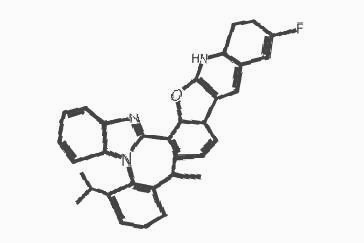 CC(C)C1=CCCC(C(C)C)=C1N1C(C2=CC=CC3C4=C(NC5CCC(F)=CC5=C4)OC23)=NC2C=CC=CC21